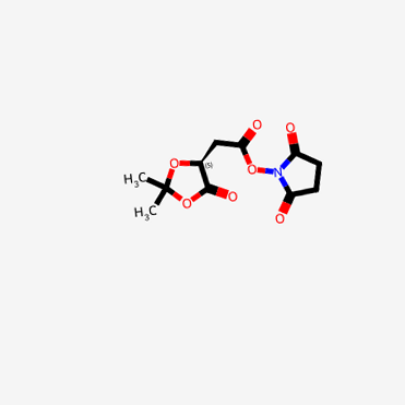 CC1(C)OC(=O)[C@H](CC(=O)ON2C(=O)CCC2=O)O1